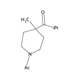 CC(=O)N1CCC(C)(C(=O)C(C)C)CC1